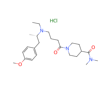 CCN(CCCC(=O)N1CCC(C(=O)N(C)C)CC1)[C@@H](C)Cc1ccc(OC)cc1.Cl